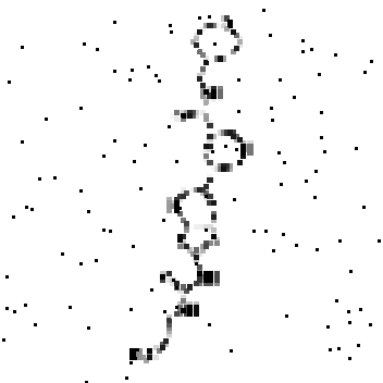 C=CCNC(=O)Nc1nc2cc(-c3cncc(C(=O)NCC4CCOCC4)c3)cnc2s1